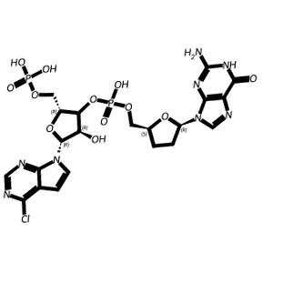 Nc1nc2c(ncn2[C@H]2CC[C@@H](COP(=O)(O)OC3[C@@H](O)[C@H](n4ccc5c(Cl)ncnc54)O[C@@H]3COP(=O)(O)O)O2)c(=O)[nH]1